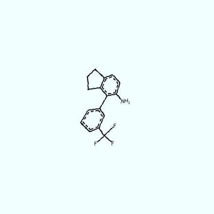 Nc1ccc2c(c1-c1cccc(C(F)(F)F)c1)CCC2